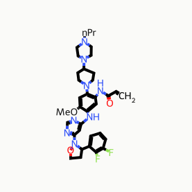 C=CC(=O)Nc1cc(Nc2cc(N3OCCC3c3cccc(F)c3F)ncn2)c(OC)cc1N1CCC(N2CCN(CCC)CC2)CC1